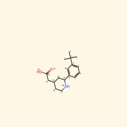 CC(C)(C)c1cccc(C2CC(CC(=O)O)CCN2)c1